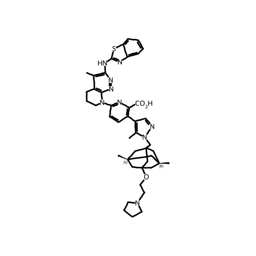 Cc1c(Nc2nc3ccccc3s2)nnc2c1CCCN2c1ccc(-c2cnn(CC34CC5(OCCN6CCCC6)C[C@](C)(C3)C[C@](C)(C4)C5)c2C)c(C(=O)O)n1